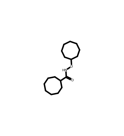 O=C(NOC1CCCCCCC1)C1CCCCCCC1